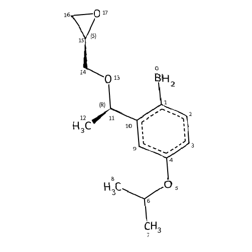 Bc1ccc(OC(C)C)cc1[C@@H](C)OC[C@H]1CO1